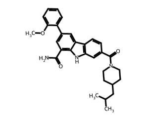 COc1ccccc1-c1cc(C(N)=O)c2[nH]c3cc(C(=O)N4CCC(C[C](C)C)CC4)ccc3c2c1